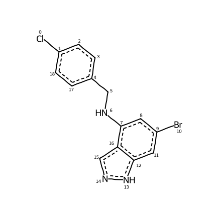 Clc1ccc(CNc2cc(Br)cc3[nH]ncc23)cc1